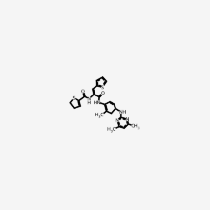 CC1=C(NC(=O)/C(=C\c2cccs2)NC(=O)C2=CCCS2)C=CC(Nc2nc(C)cc(C)n2)C1